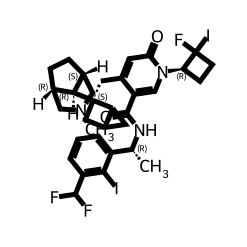 C[C@@H](NC(=O)c1cn([C@@H]2CCC2(F)I)c(=O)cc1C[C@@]1([C@@H]2[C@@H]3CC[C@H]2CN(C)C3)CC2CC21)c1cccc(C(F)F)c1I